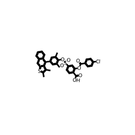 Cc1cc(-c2c3ccccc3cc3sc(C)c(C)c23)cc(C)c1OS(=O)(=O)c1ccc(C(=O)O)c(OC(=O)c2ccc(Cl)cc2)c1